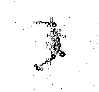 CC[C@H](C)[C@@H]([C@@H](CC(=O)N1CCC[C@H]1[C@H](OC)[C@@H](C)C(=O)N[C@@H](Cc1ccccc1)C(=O)Nc1ccc(CNC(=O)CCCCCN2C(=O)C=CC2=O)cc1)OC)N(C)C(=O)[C@@H](NC(=O)C[C@H]1CC[C@H](NC(=O)CCCCCO)C1)C(C)C